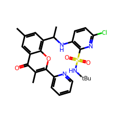 Cc1cc(C(C)Nc2ccc(Cl)nc2S(=O)(=O)NC(C)(C)C)c2oc(-c3ccccn3)c(C)c(=O)c2c1